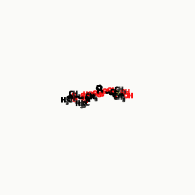 CCC(C)(CC)OC(=O)CCC(=O)OC(CC)(CC)C(C)(CC)CC(O)COC(=O)c1ccccc1C(=O)OCC(O)CC(C)(CC)C(C)(CC)SCC(O)CO